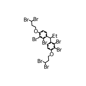 CCC(c1ccc(OCCC(Br)Br)c(Br)c1Br)c1ccc(OCCC(Br)Br)c(Br)c1Br